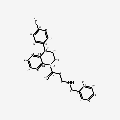 O=C(CCNCc1ccccn1)N1CCN(c2ccc(F)cc2)c2ccccc21